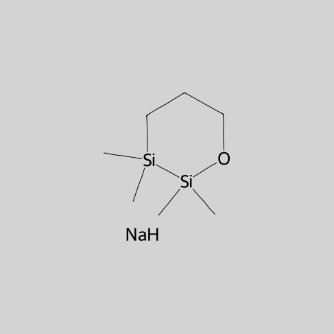 C[Si]1(C)CCCO[Si]1(C)C.[NaH]